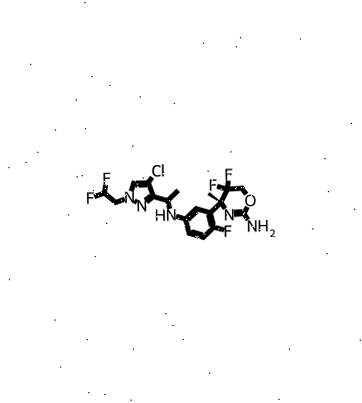 CC(Nc1ccc(F)c([C@@]2(C)N=C(N)OCC2(F)F)c1)c1nn(CC(F)F)cc1Cl